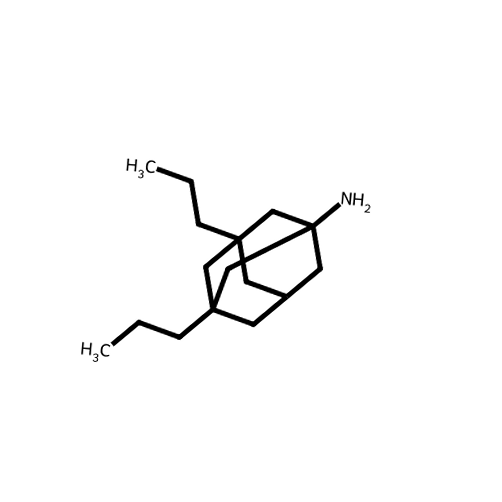 CCCC12CC3CC(N)(C1)CC(CCC)(C3)C2